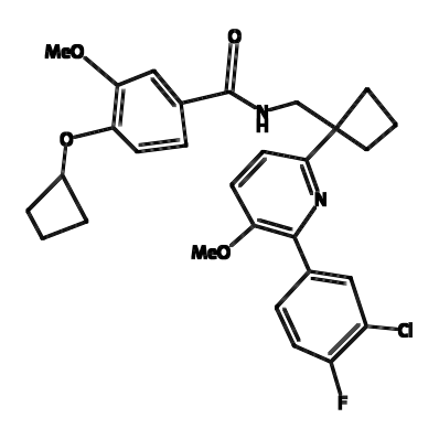 COc1cc(C(=O)NCC2(c3ccc(OC)c(-c4ccc(F)c(Cl)c4)n3)CCC2)ccc1OC1CCC1